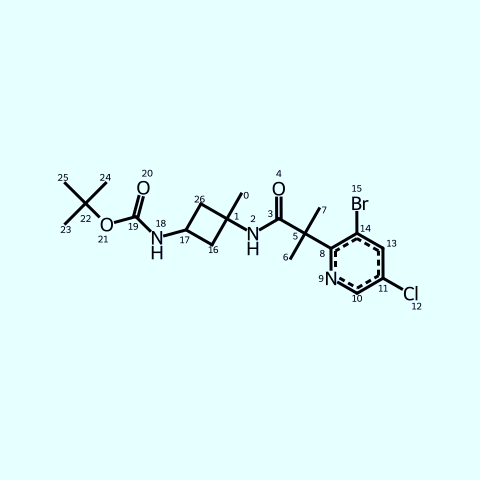 CC1(NC(=O)C(C)(C)c2ncc(Cl)cc2Br)CC(NC(=O)OC(C)(C)C)C1